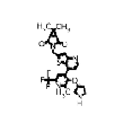 Cc1nc(C(F)(F)F)cc(-c2ccnc3cc(CN4C(=O)C5C(C4=O)C5(C)C)sc23)c1O[C@H]1CCNC1